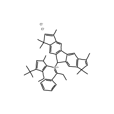 CCC1=[C](/[Zr+2](=[C](/CC)c2ccccc2)[CH]2c3cc4c(cc3-c3cc5c(cc32)C(C)(C)C=C5C)C(C)=CC4(C)C)C(C)C=C1C(C)(C)C.[Cl-].[Cl-]